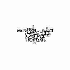 CNC(=O)c1ncc(Cl)cc1-n1nc(C)nc1[C@@H]1OC(C(C)O)[C@H](OC)C(n2cc(-c3ccc(Cl)c(F)c3F)cn2)[C@@H]1O